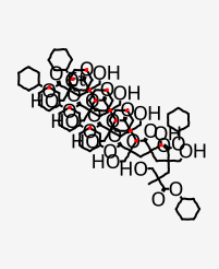 CCC(CO)(CC(CO)(CC(CO)(CC(CO)(CC(CO)(CC(CO)(CC(CO)(CC(CO)(CC(CO)(CC(C)(CO)C(=O)OC1CCCCC1)C(=O)OC1CCCCC1)C(=O)OC1CCCCC1)C(=O)OC1CCCCC1)C(=O)OC1CCCCC1)C(=O)OC1CCCCC1)C(=O)OC1CCCCC1)C(=O)OC1CCCCC1)C(=O)OC1CCCCC1)C(=O)OC1CCCCC1